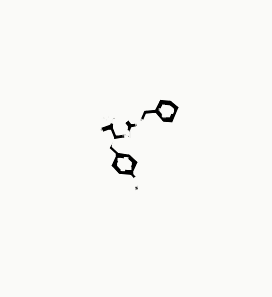 CCCOc1ccc(C[C@H](NC(=O)OCc2ccccc2)C(=O)OC)cc1